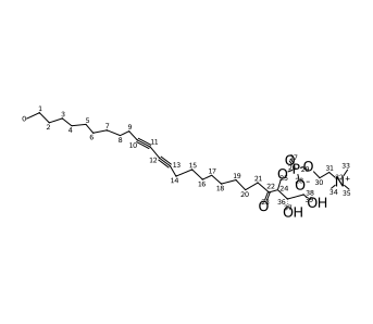 CCCCCCCCCCC#CC#CCCCCCCCCC(=O)C(OP(=O)([O-])OCC[N+](C)(C)C)[C@@H](O)CO